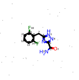 NC(=O)c1n[nH]c(Cc2c(F)cccc2F)n1